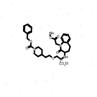 CCOC(=O)[C@H](COCCC1CCN(C(=O)OCc2ccccc2)CC1)NC1CCc2ccccc2N(CC(=O)OC(C)(C)C)C1=O